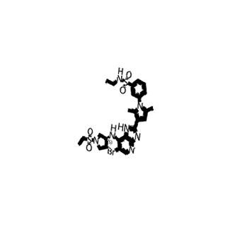 CCNS(=O)(=O)c1cccc(-n2c(C)cc(-c3nc4ncc(Br)c(N[C@H]5CCN(S(=O)(=O)CC)C5)c4[nH]3)c2C)c1